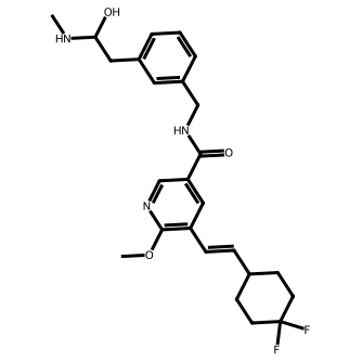 CNC(O)Cc1cccc(CNC(=O)c2cnc(OC)c(/C=C/C3CCC(F)(F)CC3)c2)c1